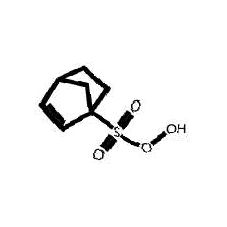 O=S(=O)(OO)C12C=CC(CC1)C2